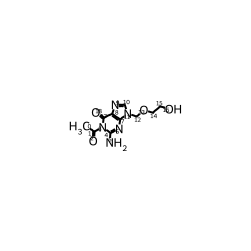 CC(=O)n1c(N)nc2c(ncn2COCCO)c1=O